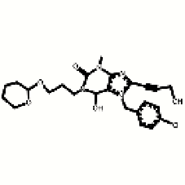 CN1C(=O)N(CCCOC2CCCCO2)C(O)c2c1nc(C#CCO)n2Cc1ccc(Cl)cc1